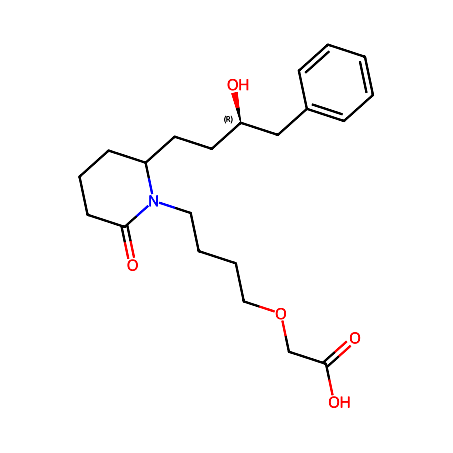 O=C(O)COCCCCN1C(=O)CCCC1CC[C@@H](O)Cc1ccccc1